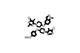 COc1ccc(OC2CCN(c3ncnc(Cl)c3C)CC2)cc1.Cc1nc(Cl)c(C)c(N2CCC(Oc3ccc4c(cnn4C)c3)CC2)n1